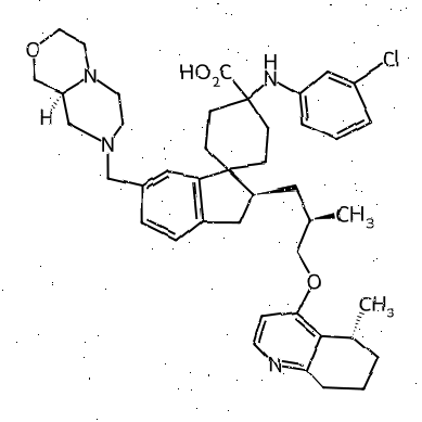 C[C@@H](COc1ccnc2c1[C@H](C)CCC2)C[C@H]1Cc2ccc(CN3CCN4CCOC[C@@H]4C3)cc2C12CCC(Nc1cccc(Cl)c1)(C(=O)O)CC2